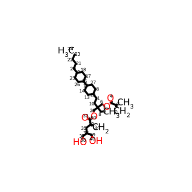 C=C(C)C(=O)OCC(CC)(CCC1CCC(C2CCC(CCCCC)CC2)CC1)COC(=O)C(=C)CC(CO)CO